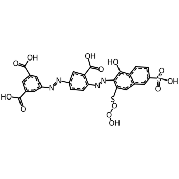 O=C(O)c1cc(/N=N/c2ccc(/N=N/c3c(SOOO)cc4cc(S(=O)(=O)O)ccc4c3O)c(C(=O)O)c2)cc(C(=O)O)c1